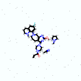 C=CC(=O)N1CCN(c2nc(OC[C@@H]3CCCN3C)nc3c2CCCN(c2cc(F)cc4c2N(C)CCC4)C3)C[C@@H]1CC#N